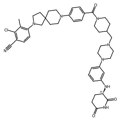 Cc1c(N2CCC3(CCN(c4ccc(C(=O)N5CCC(CN6CCN(c7cccc(N[C@@H]8CCC(=O)NC8=O)c7)CC6)CC5)cc4)CC3)C2)ccc(C#N)c1Cl